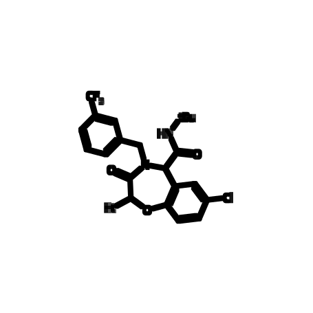 CCC1Oc2ccc(Cl)cc2C(C(=O)NC(C)(C)C)N(Cc2cccc(C(F)(F)F)c2)C1=O